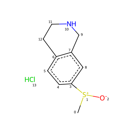 C[S+]([O-])c1ccc2c(c1)CNCC2.Cl